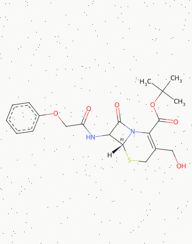 CC(C)(C)OC(=O)C1=C(CO)CS[C@@H]2C(NC(=O)COc3ccccc3)C(=O)N12